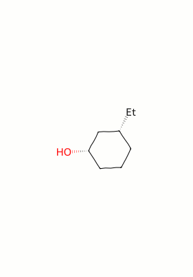 CC[C@@H]1CCC[C@H](O)C1